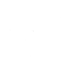 CC(C)CC1Oc2cc(C(F)(F)F)ccc2N(c2cccc(Br)c2)C1=O